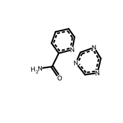 NC(=O)c1ccccn1.c1ncncn1